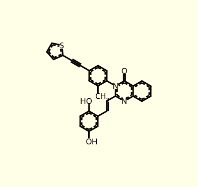 Cc1cc(C#Cc2cccs2)ccc1-n1c(C=Cc2cc(O)ccc2O)nc2ccccc2c1=O